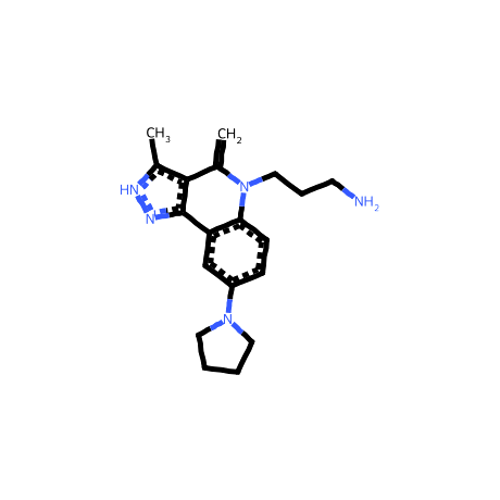 C=C1c2c(n[nH]c2C)-c2cc(N3CCCC3)ccc2N1CCCN